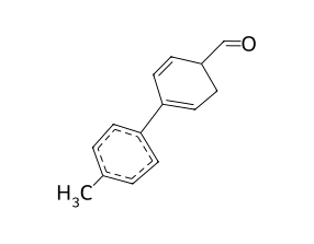 Cc1ccc(C2=CCC(C=O)C=C2)cc1